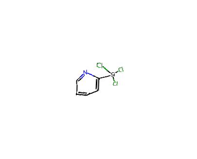 Cl[Si](Cl)(Cl)c1ccccn1